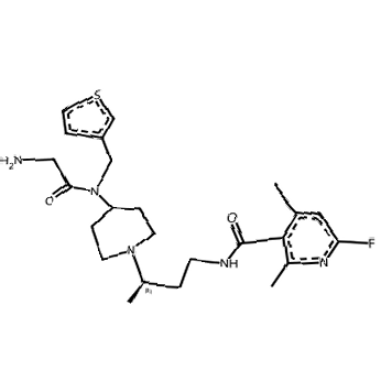 Cc1cc(F)nc(C)c1C(=O)NCC[C@@H](C)N1CCC(N(Cc2ccsc2)C(=O)CN)CC1